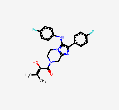 CC(C)=C(O)C(=O)N1CCn2c(nc(-c3ccc(F)cc3)c2Nc2ccc(F)cc2)C1